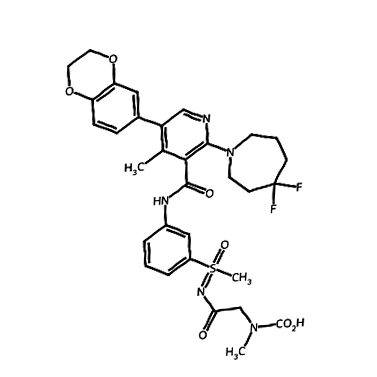 Cc1c(-c2ccc3c(c2)OCCO3)cnc(N2CCCC(F)(F)CC2)c1C(=O)Nc1cccc(S(C)(=O)=NC(=O)CN(C)C(=O)O)c1